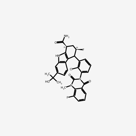 Cn1c(=O)n(-c2cccc(C3c4c([nH]c5cc(C(C)(C)O)ccc45)[C@@H](C(N)=O)C[C@H]3F)c2Cl)c(=O)c2cccc(F)c21